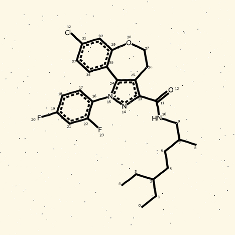 CCC(CC)CCC(C)CNC(=O)c1nn(-c2ccc(F)cc2F)c2c1CCOc1cc(Cl)ccc1-2